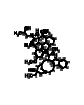 CCC1(O)CC2CN(CCc3c([nH]c4ccccc34)C(C(=O)OC)[C@H]2c2cc3c(cc2OC)N(C)C2C34CCN3CC=C[C@](CC)(C34)[C@@H](O)[C@]2(O)C(=O)NCC(C)O)C1